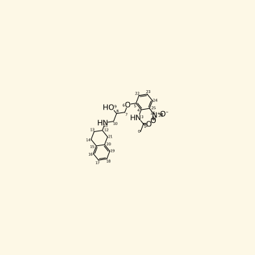 CC(=O)Nc1c(OCC(O)CNC2CCc3ccccc3C2)cccc1[N+](=O)[O-]